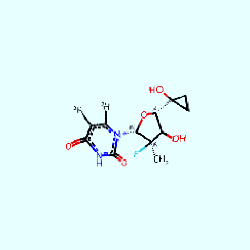 [2H]c1c([2H])n([C@@H]2O[C@H](C3(O)CC3)C(O)[C@@]2(C)F)c(=O)[nH]c1=O